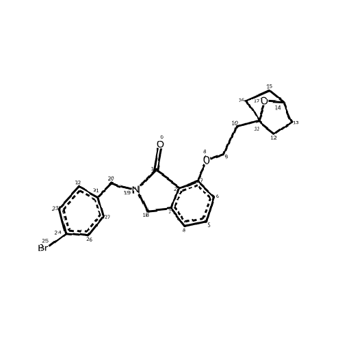 O=C1c2c(cccc2OCCC23CCC(CC2)O3)CN1Cc1ccc(Br)cc1